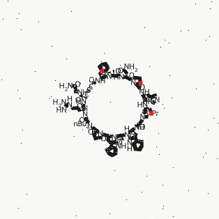 CCCC[C@H]1C(=O)N[C@@H](CCCNC(=N)N)C(=O)N[C@H](C(=O)NCC(N)=O)CSCC(=O)N[C@@H](Cc2ccccc2)C(=O)N(C)[C@@H](C)C(=O)N[C@@H](CC(N)=O)C(=O)N2CCC[C@H]2C(=O)N[C@@H](Cc2cnc[nH]2)C(=O)N[C@@H](CC(C)C)C(=O)N(C)CC(=O)N[C@@H](Cc2c[nH]c3ccccc23)C(=O)N[C@@H](CO)C(=O)NC(Cc2c[nH]c3ccccc23)C(=O)N2CCC[C@H]2C(=O)N1C